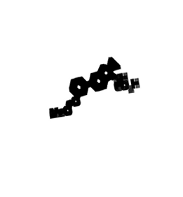 COCOc1cccc(-c2ccc3c(c2)CC2(CC2)C3NC(=O)O)c1